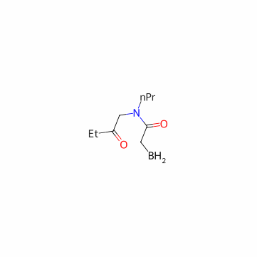 BCC(=O)N(CCC)CC(=O)CC